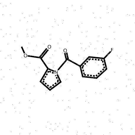 COC(=O)c1cccn1C(=O)c1cccc(F)c1